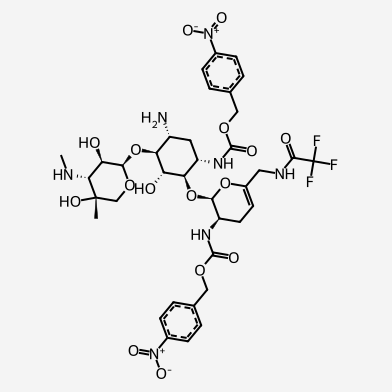 CN[C@@H]1[C@@H](O)[C@@H](O[C@@H]2[C@@H](O)[C@H](O[C@H]3OC(CNC(=O)C(F)(F)F)=CC[C@H]3NC(=O)OCc3ccc([N+](=O)[O-])cc3)[C@@H](NC(=O)OCc3ccc([N+](=O)[O-])cc3)C[C@H]2N)OC[C@]1(C)O